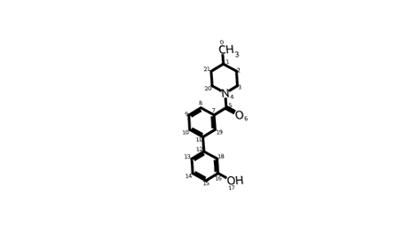 CC1CCN(C(=O)c2cccc(-c3cccc(O)c3)c2)CC1